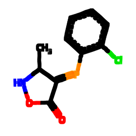 CC1NOC(=O)C1=Pc1ccccc1Cl